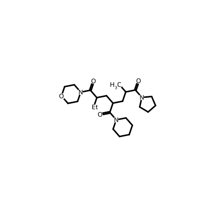 CCC(CC(CC(C)C(=O)N1CCCC1)C(=O)N1CCCCC1)C(=O)N1CCOCC1